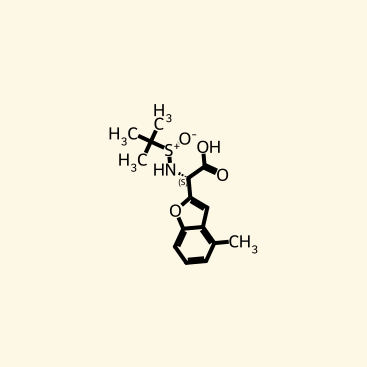 Cc1cccc2oc([C@H](N[S+]([O-])C(C)(C)C)C(=O)O)cc12